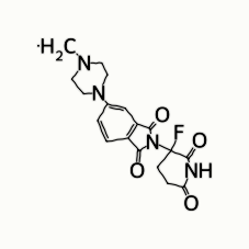 [CH2]N1CCN(c2ccc3c(c2)C(=O)N(C2(F)CCC(=O)NC2=O)C3=O)CC1